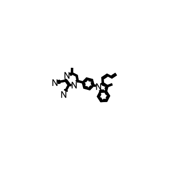 C=C/C=C\c1c(C)c2ccccc2n1-c1ccc(C2=NC(C#N)=C(C#N)N=C(C)C2)cc1